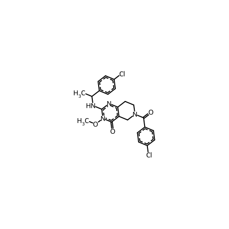 COn1c(NC(C)c2ccc(Cl)cc2)nc2c(c1=O)CN(C(=O)c1ccc(Cl)cc1)CC2